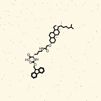 CC(C)CCC[C@@H](C)[C@H]1CCC2C3CCC4C[C@@H](OCC(=O)NCCCC[C@H](NC(=O)OCC5c6ccccc6-c6ccccc65)C(=O)O)CC[C@]4(C)C3CC[C@@]21C